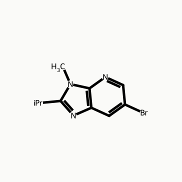 CC(C)c1nc2cc(Br)cnc2n1C